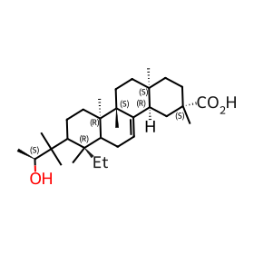 CC[C@@]1(C)C(C(C)(C)[C@H](C)O)CC[C@]2(C)C1CC=C1[C@@H]3C[C@@](C)(C(=O)O)CC[C@]3(C)CC[C@]12C